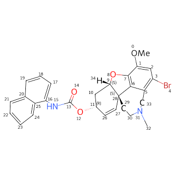 COc1cc(Br)c2c3c1O[C@H]1C[C@@H](OC(=O)Nc4cccc5ccccc45)C=C[C@@]31CCN(C)C2